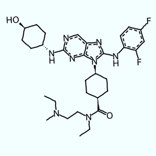 CCN(C)CCN(CC)C(=O)[C@H]1CC[C@@H](n2c(Nc3ccc(F)cc3F)nc3cnc(N[C@H]4CC[C@H](O)CC4)nc32)CC1